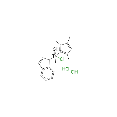 CC1=C(C)C(C)[C]([Ti]([CH3])(=[SiH2])([Cl])[CH]2C=Cc3ccccc32)=C1C.Cl.Cl